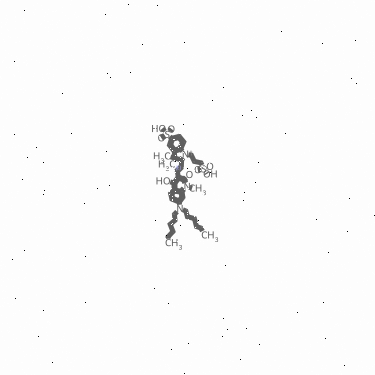 CCCCCCN(CCCCCC)c1ccc2c(O)c(/C=C/C3=[N+](CCCS(=O)(=O)O)c4ccc(S(=O)(=O)O)cc4C3(C)C)c(=O)n(C)c2c1